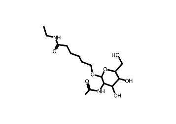 CCNC(=O)CCCCCOC1OC(CO)C(O)C(O)C1NC(C)=O